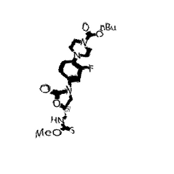 CCCCOC(=O)N1CCN(c2ccc(N3C[C@H](CNC(=S)OC)OC3=O)cc2F)CC1